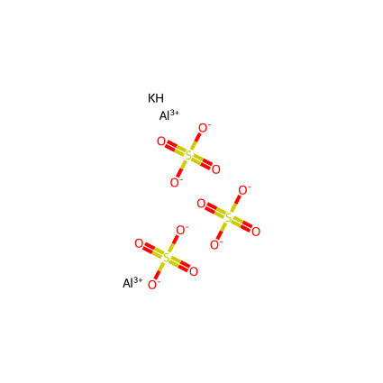 O=S(=O)([O-])[O-].O=S(=O)([O-])[O-].O=S(=O)([O-])[O-].[Al+3].[Al+3].[KH]